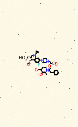 CC1=C(O)C(=C=O)C=CN1C(COC(=C=O)CN1CCN(c2cc3c(cc2F)C(=C=O)C(C(=O)O)=CN3C2CC2)CC1)Cc1ccccc1